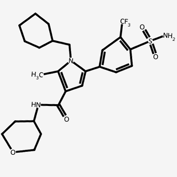 Cc1c(C(=O)NC2CCOCC2)cc(-c2ccc(S(N)(=O)=O)c(C(F)(F)F)c2)n1CC1CCCCC1